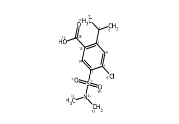 CC(C)c1cc(Cl)c(S(=O)(=O)N(C)C)cc1C(=O)O